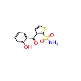 NS(=O)(=O)c1sccc1C(=O)c1ccccc1O